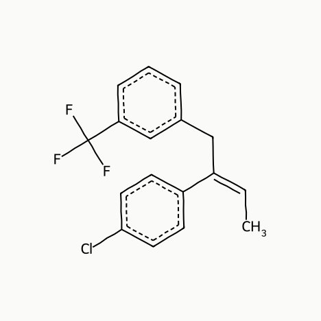 CC=C(Cc1cccc(C(F)(F)F)c1)c1ccc(Cl)cc1